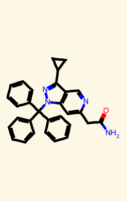 NC(=O)Cc1cc2c(cn1)c(C1CC1)nn2C(c1ccccc1)(c1ccccc1)c1ccccc1